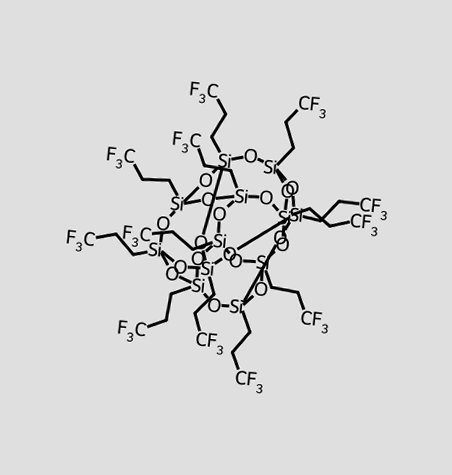 FC(F)(F)CC[Si]12O[Si]3(CCC(F)(F)F)O[Si]4(CCC(F)(F)F)O[Si](CCC(F)(F)F)(O1)O[Si]1(CCC(F)(F)F)O[Si]5(CCC(F)(F)F)O[Si]6(CCC(F)(F)F)O[Si](CCC(F)(F)F)(O1)O[Si](CCC(F)(F)F)(O2)O[Si](CCC(F)(F)F)(O3)O[Si](CCC(F)(F)F)(O6)O[Si](CCC(F)(F)F)(O5)O4